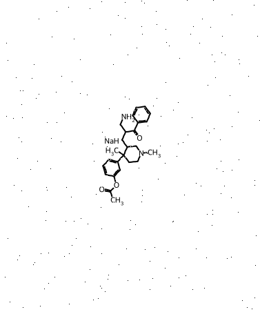 CC(=O)Oc1cccc(C2(C)CCN(C)CC2CC(CN)C(=O)c2ccccc2)c1.[NaH]